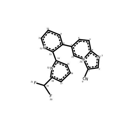 N#Cc1cnc2ccc(-c3cccnc3-c3cccc(C(F)F)n3)cn12